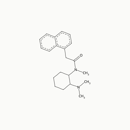 CN(C)C1CCCCC1N(C)C(=O)Cc1cccc2ccccc12